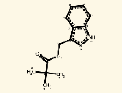 CC(C)(C)C(=O)OCc1n[nH]c2ccccc12